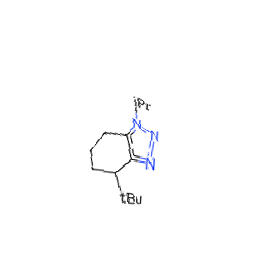 CC(C)n1nnc2c1CCCC2C(C)(C)C